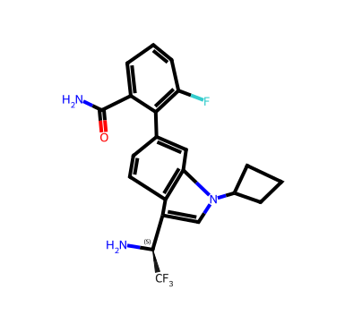 NC(=O)c1cccc(F)c1-c1ccc2c([C@H](N)C(F)(F)F)cn(C3CCC3)c2c1